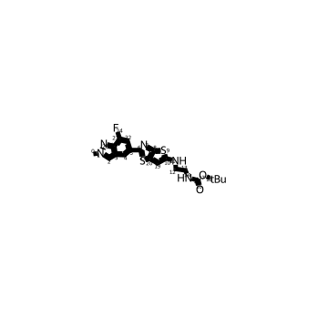 Cn1cc2cc(-c3nc4sc(NCCNC(=O)OC(C)(C)C)cc4s3)cc(F)c2n1